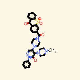 CN1CCN(c2c(N3CCN(C(=O)c4ccc5c(c4)S(=O)(=O)c4ccccc4C5=O)CC3)cnn(-c3ccccc3)c2=O)CC1